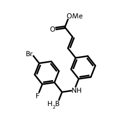 BC(Nc1cccc(/C=C/C(=O)OC)c1)c1ccc(Br)cc1F